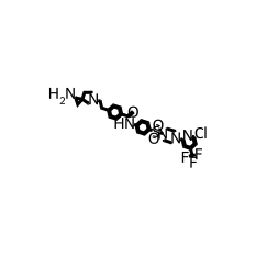 NC1CC12CCN(CCc1ccc(C(=O)Nc3ccc(S(=O)(=O)N4CCN(c5cc(C(F)(F)F)cc(Cl)n5)CC4)cc3)cc1)C2